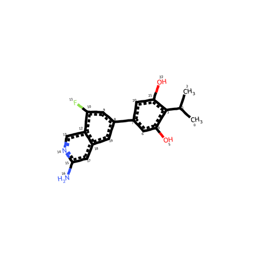 CC(C)c1c(O)cc(-c2cc(F)c3cnc(N)cc3c2)cc1O